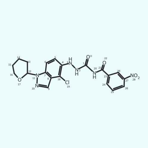 O=C(NNc1ccc2c(cnn2C2CCCCO2)c1Cl)NC(=O)c1cccc([N+](=O)[O-])c1